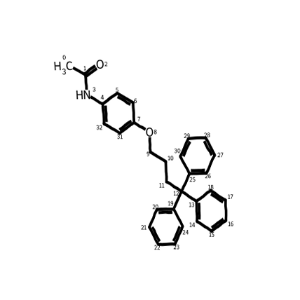 CC(=O)Nc1ccc(OCCCC(c2ccccc2)(c2ccccc2)c2ccccc2)cc1